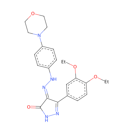 CCOc1ccc(C2=NNC(=O)/C2=N/Nc2ccc(N3CCOCC3)cc2)cc1OCC